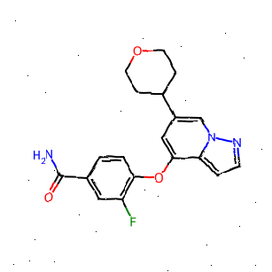 NC(=O)c1ccc(Oc2cc(C3CCOCC3)cn3nccc23)c(F)c1